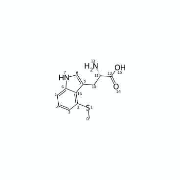 CSc1cccc2[nH]cc(C[C@H](N)C(=O)O)c12